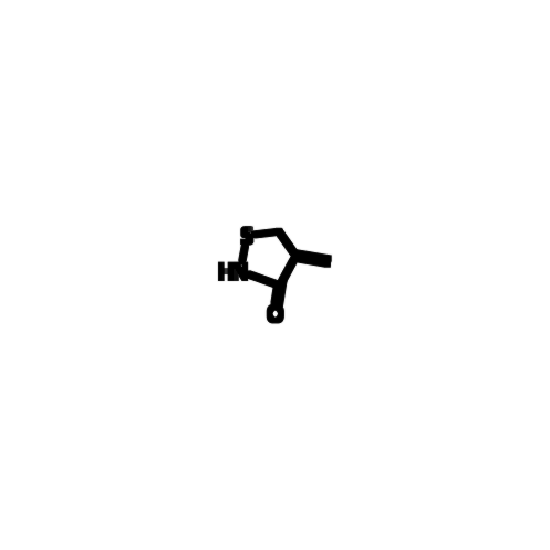 C=C1CSNC1=O